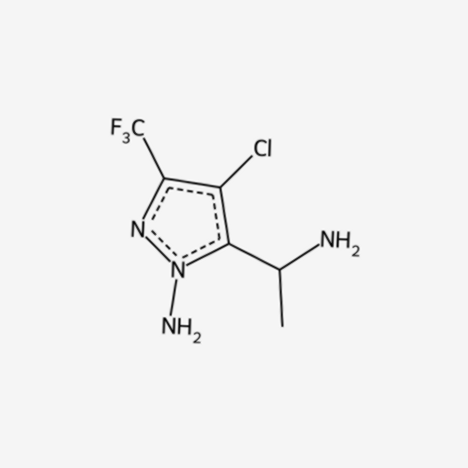 CC(N)c1c(Cl)c(C(F)(F)F)nn1N